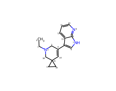 CCN1CC(c2c[nH]c3ncccc23)=CC2(CC2)C1